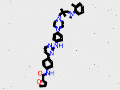 Cc1ccccc1N(C)CC(C)(C)CN1CCN(c2ccc(Nc3nccc(-c4ccc(NC(=O)C5CCCO5)cc4)n3)cc2)CC1